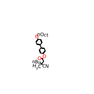 CCCCCCCCOc1ccc(-c2ccc(OC(=O)CC(C)(C#N)CCCC)cc2)cc1